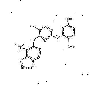 CNc1ccc(OC)c(Nc2ncc(Br)c(Nc3ccc4nccnc4c3P(C)(C)=O)n2)c1